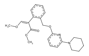 COC=C(C(=O)OC)c1ccccc1COc1cccc(N2CCCCC2)n1